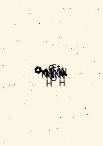 CCOc1c(/N=N/c2nnc(C)[nH]2)c(=O)[nH]c2nc(-c3ccccc3)cn12